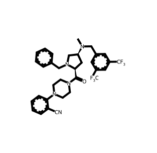 CN(Cc1cc(C(F)(F)F)cc(C(F)(F)F)c1)[C@H]1C[C@@H](C(=O)N2CCN(c3ccccc3C#N)CC2)N(Cc2ccccc2)C1